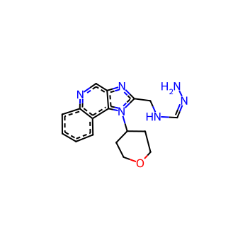 N/N=C\NCc1nc2cnc3ccccc3c2n1C1CCOCC1